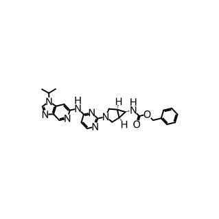 CC(C)n1cnc2cnc(Nc3ccnc(N4C[C@@H]5[C@H](C4)[C@H]5NC(=O)OCc4ccccc4)n3)cc21